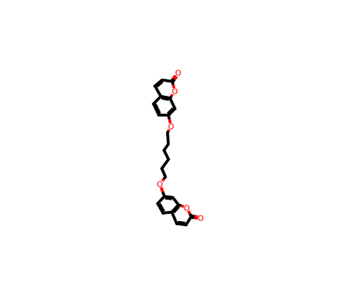 O=c1ccc2ccc(OCCCCCCOc3ccc4ccc(=O)oc4c3)cc2o1